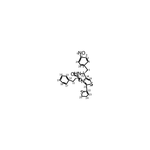 O=[N+]([O-])c1ccc(C[C@H](NS(=O)(=O)Cc2ccccc2)c2csc(C3=CCCS3)n2)cc1